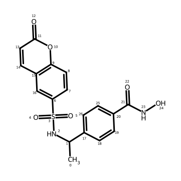 CC(NS(=O)(=O)c1ccc2oc(=O)ccc2c1)c1ccc(C(=O)NO)cc1